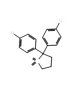 O=[N+]([O-])c1ccc(C2(c3ccc([N+](=O)[O-])cc3)CCCS2(=O)=O)cc1